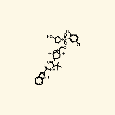 CC(C)(C)C(NC(=O)c1cc2ccccc2[nH]1)C(=O)N1C[C@@H]2C[C@H]1CN2C(=O)[C@@H]1C[C@@H](O)CN1S(=O)(=O)c1cc(Cl)ccc1Cl